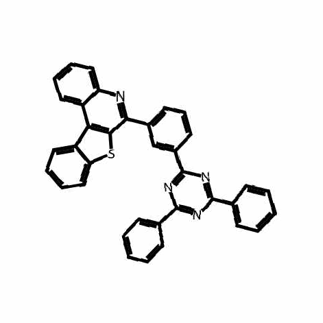 c1ccc(-c2nc(-c3ccccc3)nc(-c3cccc(-c4nc5ccccc5c5c4sc4ccccc45)c3)n2)cc1